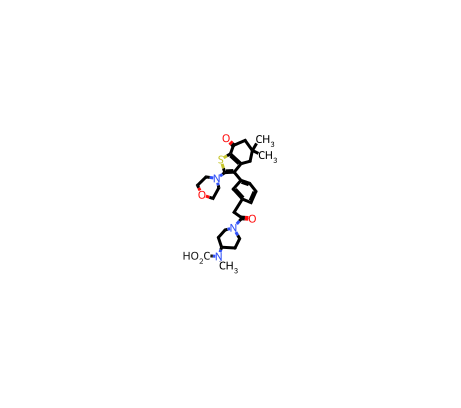 CN(C(=O)O)C1CCN(C(=O)Cc2cccc(-c3c(N4CCOCC4)sc4c3CC(C)(C)CC4=O)c2)CC1